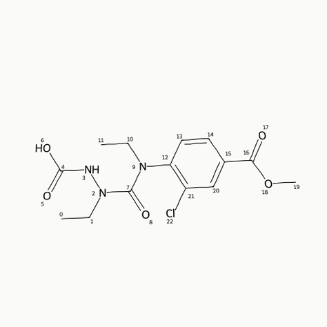 CCN(NC(=O)O)C(=O)N(CC)c1ccc(C(=O)OC)cc1Cl